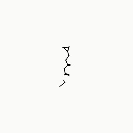 CCOC(=O)CC(=O)CCC1CC1